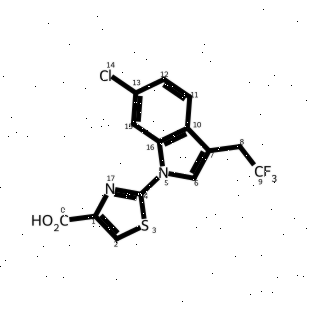 O=C(O)c1csc(-n2cc(CC(F)(F)F)c3ccc(Cl)cc32)n1